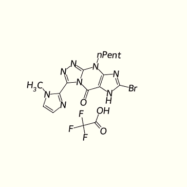 CCCCCn1c2nc(Br)[nH]c2c(=O)n2c(-c3nccn3C)nnc12.O=C(O)C(F)(F)F